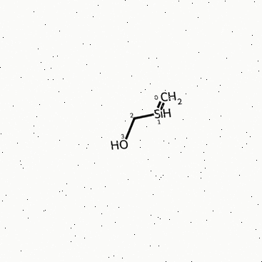 C=[SiH]CO